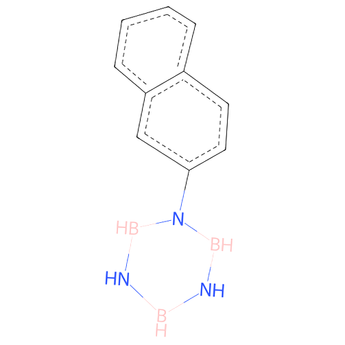 B1NBN(c2ccc3ccccc3c2)BN1